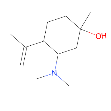 C=C(C)C1CCC(C)(O)CC1N(C)C